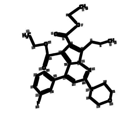 CCCc1c(C(=O)OCC)c(C(=O)OCC)c2c(-c3cccc(F)c3)cc(N3CCOCC3)nn12